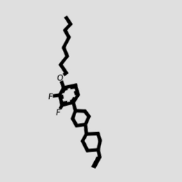 C=CC1CCC(C2CCC(c3ccc(OCCCCCCCC)c(F)c3F)CC2)CC1